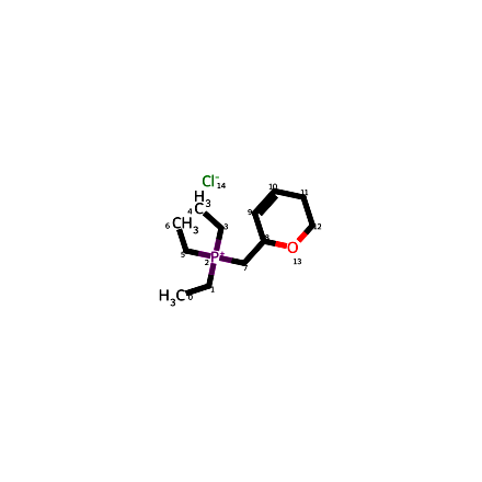 CC[P+](CC)(CC)CC1C=CCCO1.[Cl-]